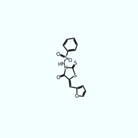 O=C1C(=Cc2ccco2)SC(=S)N1NS(=O)(=O)c1ccccc1